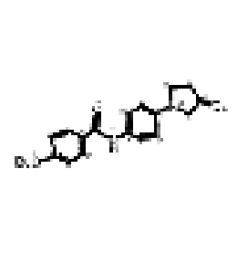 CC(C)COc1ccc(C(=O)Nc2ccc(N3CCC(=O)C3)cc2)cc1